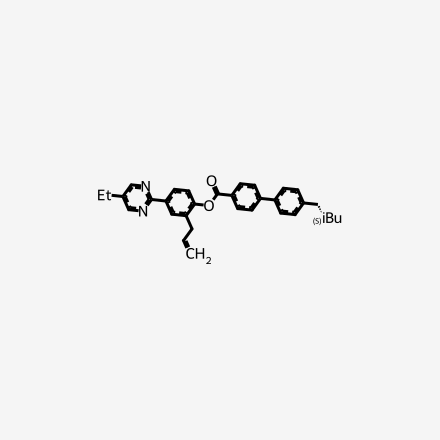 C=CCc1cc(-c2ncc(CC)cn2)ccc1OC(=O)c1ccc(-c2ccc(C[C@@H](C)CC)cc2)cc1